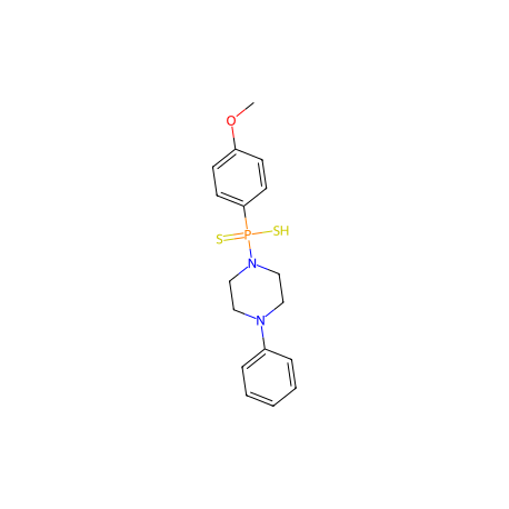 COc1ccc(P(=S)(S)N2CCN(c3ccccc3)CC2)cc1